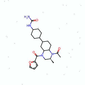 CC(=O)N1C2CCC(C3CCC(NC(N)=O)CC3)CC2N(C(=O)c2ccco2)C[C@@H]1C